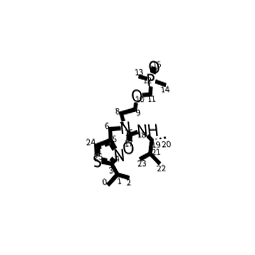 CC(C)c1nc(CN(CCOCP(C)(C)=O)C(=O)N[C@H](C)C(C)C)cs1